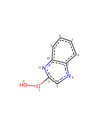 OOc1cnc2ccccc2n1